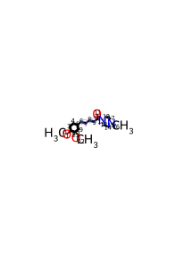 COc1ccc(/C=C/C=C/C(=O)N2CCN(C)CC2)cc1OC